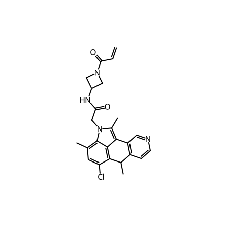 C=CC(=O)N1CC(NC(=O)Cn2c(C)c3c4c(c(Cl)cc(C)c42)C(C)c2ccncc2-3)C1